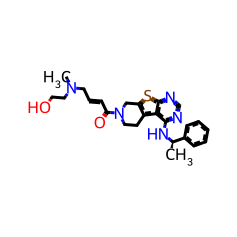 C[C@@H](Nc1ncnc2sc3c(c12)CCN(C(=O)/C=C/CN(C)CCO)C3)c1ccccc1